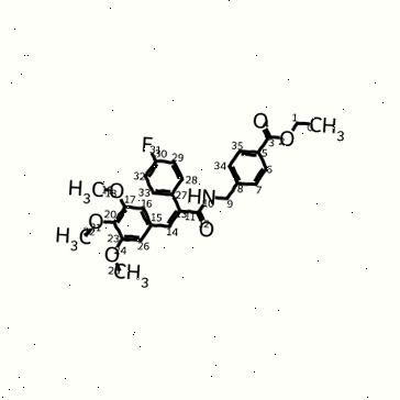 CCOC(=O)c1ccc(CNC(=O)/C(=C/c2cc(OC)c(OC)c(OC)c2)c2ccc(F)cc2)cc1